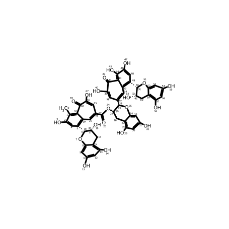 Cc1c(O)cc([C@H]2Oc3cc(O)cc(O)c3C[C@H]2O)c2cc(C(=O)O[C@@H]3Cc4c(O)cc(O)cc4O[C@@H]3c3cc(O)c(=O)c4c(O)c(O)cc([C@@H]5Oc6cc(O)cc(O)c6C[C@@H]5O)c4c3)cc(O)c(=O)c12